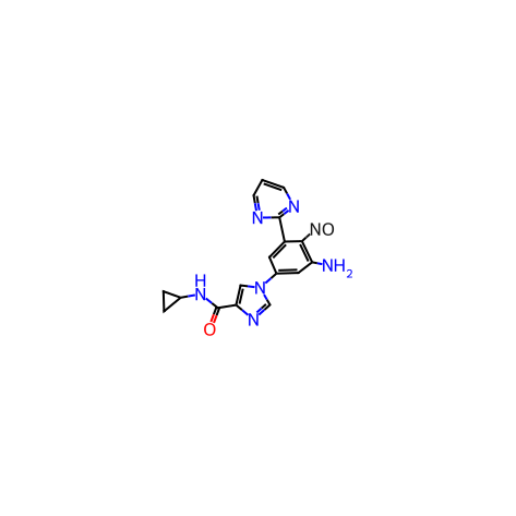 Nc1cc(-n2cnc(C(=O)NC3CC3)c2)cc(-c2ncccn2)c1N=O